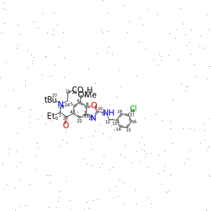 CCC(C(=O)c1cc(OC)c2oc(NCc3cccc(Cl)c3)nc2c1)N(CCC(=O)O)C(C)(C)C